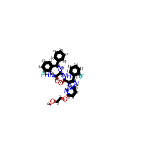 COCCOc1ccc2nc(-c3ccccc3F)c(C(=O)NC3N=C(c4ccccc4)c4cccc(F)c4NC3=O)n2n1